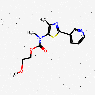 COCCOC(=O)N(C)c1sc(-c2cccnc2)nc1C